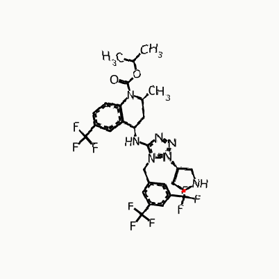 CC(C)OC(=O)N1c2ccc(C(F)(F)F)cc2[C@H](Nc2nnn([C@@H]3CCNC3)[n+]2Cc2cc(C(F)(F)F)cc(C(F)(F)F)c2)C[C@@H]1C